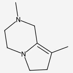 CC1=C2CN(C)CCN2CC1